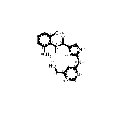 Cc1cccc(Cl)c1NC(=O)c1cnc(Nc2cc(CO)ncn2)s1